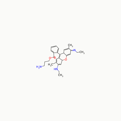 CC/N=C1\C=C2OC3C=C(NCC)C(C)=CC3=C(c3ccccc3C(=O)OCCCN)C2C=C1C